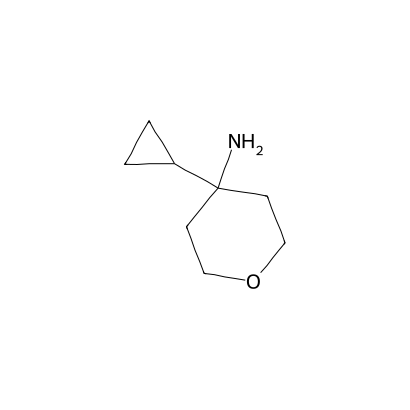 NC1(C2CC2)CCOCC1